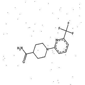 NC(=O)C1CCN(c2cccc(C(F)(F)F)n2)CC1